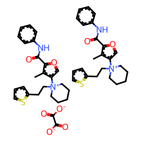 Cc1c([N+]2(CCc3cccs3)CCCCC2)coc1C(=O)Nc1ccccc1.Cc1c([N+]2(CCc3cccs3)CCCCC2)coc1C(=O)Nc1ccccc1.O=C([O-])C(=O)[O-]